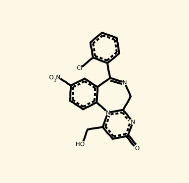 O=c1cc(CO)n2c(n1)CN=C(c1ccccc1Cl)c1cc([N+](=O)[O-])ccc1-2